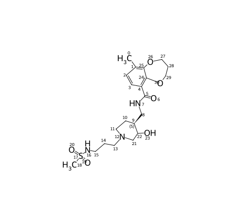 Cc1ccc(C(=O)NC[C@@H]2CCN(CCCNS(C)(=O)=O)CC2O)c2c1OCCCO2